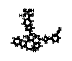 N#Cc1cccc(C2CN(C(=O)[C@@H]3CC[C@@H]4CCN(Cc5ncccn5)C[C@H](NC(=O)c5cc6cc(C(F)P(=O)(O)O)ccc6s5)C(=O)N43)C2)n1